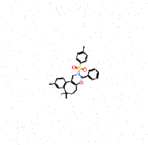 Cc1ccc(S(=O)(=O)N(CC2=C(Br)CCC(C)(C)c3cc(C)ccc32)Cc2ccccc2)cc1